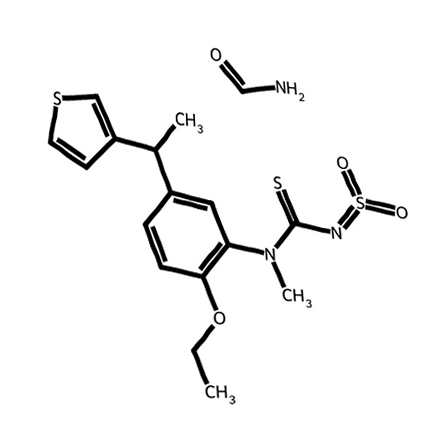 CCOc1ccc(C(C)c2ccsc2)cc1N(C)C(=S)N=S(=O)=O.NC=O